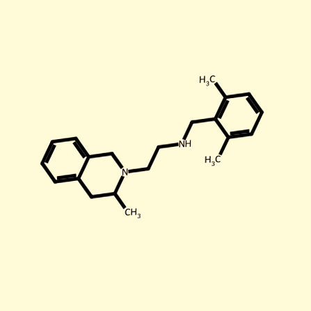 Cc1cccc(C)c1CNCCN1Cc2ccccc2CC1C